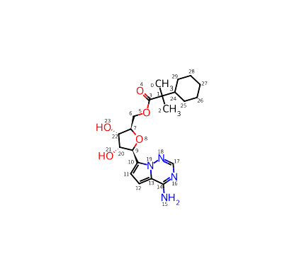 CC(C)(C(=O)OC[C@H]1O[C@@H](c2ccc3c(N)ncnn23)[C@H](O)[C@@H]1O)C1CCCCC1